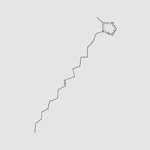 CCCCCCCCC=CCCCCCCCCn1ccnc1C